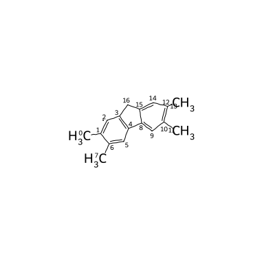 Cc1[c]c2c(cc1C)-c1cc(C)c(C)cc1C2